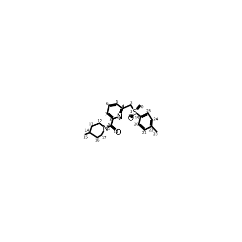 C=S(=O)(Cc1cccc(C(=O)N2CCC(C)CC2)n1)c1ccc(C)cc1